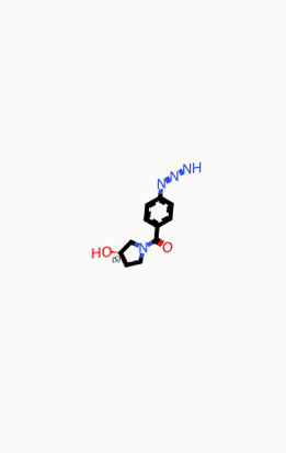 N=[N+]=Nc1ccc(C(=O)N2CC[C@H](O)C2)cc1